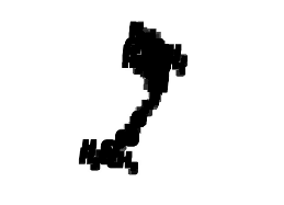 CC(C)(C)CCCOC(=O)CCCOCCCCC#Cc1cc2c(cn1)C(=O)C(C1C(C)(C)C(Oc3ccc(C#N)c(Cl)c3)C1(C)C)=CC2